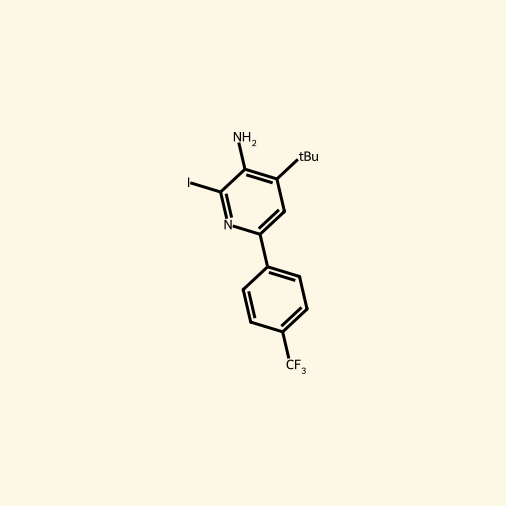 CC(C)(C)c1cc(-c2ccc(C(F)(F)F)cc2)nc(I)c1N